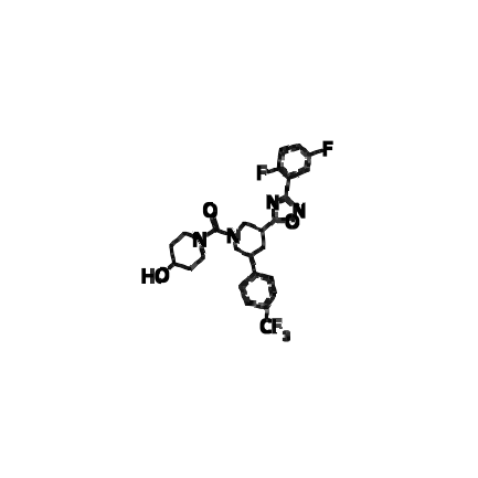 O=C(N1CCC(O)CC1)N1CC(c2ccc(C(F)(F)F)cc2)CC(c2nc(-c3cc(F)ccc3F)no2)C1